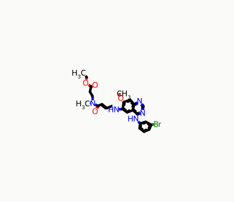 CCOC(=O)CCN(C)C(=O)C=CCNc1cc2c(Nc3cccc(Br)c3)ncnc2cc1OC